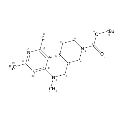 CN(CC1CN(C(=O)OC(C)(C)C)CCS1)c1cc(Cl)nc(C(F)(F)F)n1